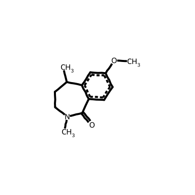 COc1ccc2c(c1)C(C)CCN(C)C2=O